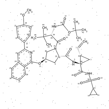 C=C[C@@H]1C[C@]1(NC(=O)[C@@H]1C[C@@H](Oc2nc(-c3ccc(OC)cc3)cc3ccccc23)CN1C(=O)[C@@H](NC(=O)OC(C)(C)C)C(C)(C)C)C(=O)NS(=O)(=O)C1CC1